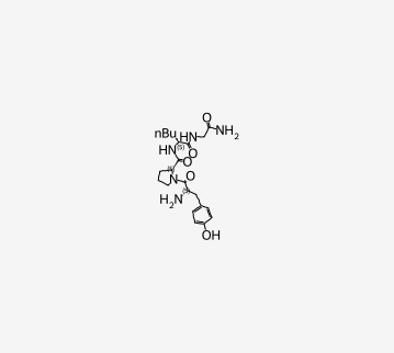 CCCC[C@H](NC(=O)[C@@H]1CCCN1C(=O)[C@@H](N)Cc1ccc(O)cc1)C(=O)NCC(N)=O